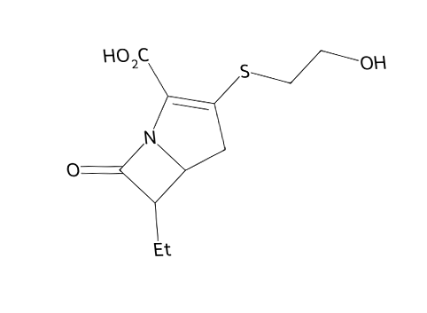 CCC1C(=O)N2C(C(=O)O)=C(SCCO)CC12